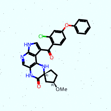 CO[C@@H]1CC[C@]2(C1)Nc1c(cnc3[nH]cc(C(=O)c4ccc(Oc5ccccc5)cc4Cl)c13)NC2=O